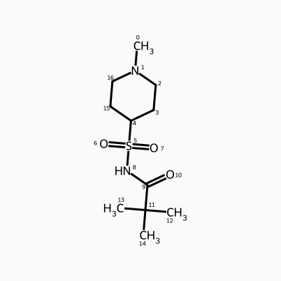 CN1CCC(S(=O)(=O)NC(=O)C(C)(C)C)CC1